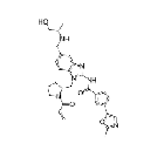 C=CC(=O)N1CCCC1Cn1c(NC(=O)c2ccc(-c3cnc(C)o3)s2)nc2cc(CNC(C)CO)ccc21